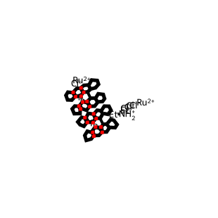 CC[NH2+]CC.[Cl-].[Cl-].[Cl-].[Cl-].[Cl-].[Ru+2].[Ru+2].c1ccc(P(c2ccccc2)c2ccc3ccccc3c2-c2c(P(c3ccccc3)c3ccccc3)ccc3ccccc23)cc1.c1ccc(P(c2ccccc2)c2ccc3ccccc3c2-c2c(P(c3ccccc3)c3ccccc3)ccc3ccccc23)cc1